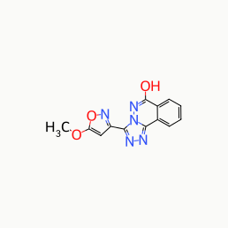 COc1cc(-c2nnc3c4ccccc4c(O)nn23)no1